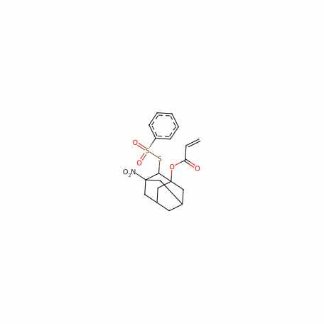 C=CC(=O)OC12CC3CC(C1)CC([N+](=O)[O-])(C3)C2SS(=O)(=O)c1ccccc1